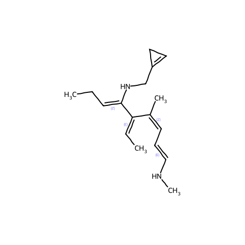 C/C=C(C(\C)=C/C=C/NC)/C(=C/CC)NCC1=CC1